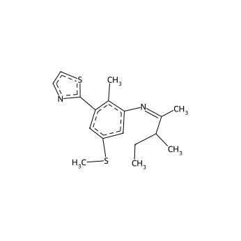 CCC(C)/C(C)=N\c1cc(SC)cc(-c2nccs2)c1C